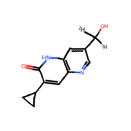 [2H]C([2H])(O)c1cnc2cc(C3CC3)c(=O)[nH]c2c1